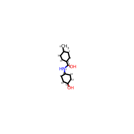 CC1CCC([C@@H](O)NC2CCC(O)CC2)CC1